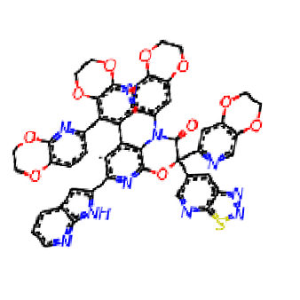 O=C1N(c2ccc3c(c2)OCCO3)c2c(-c3cnc4c(c3-c3ccc5c(n3)OCCO5)OCCO4)[c]c(-c3cc4cccnc4[nH]3)nc2OC1(c1cnc2snnc2c1)c1cc2c(cn1)OCCO2